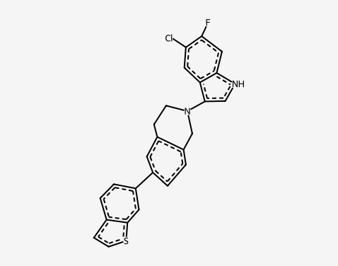 Fc1cc2[nH]cc(N3CCc4cc(-c5ccc6ccsc6c5)ccc4C3)c2cc1Cl